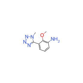 COc1c(N)cccc1-c1nnnn1C